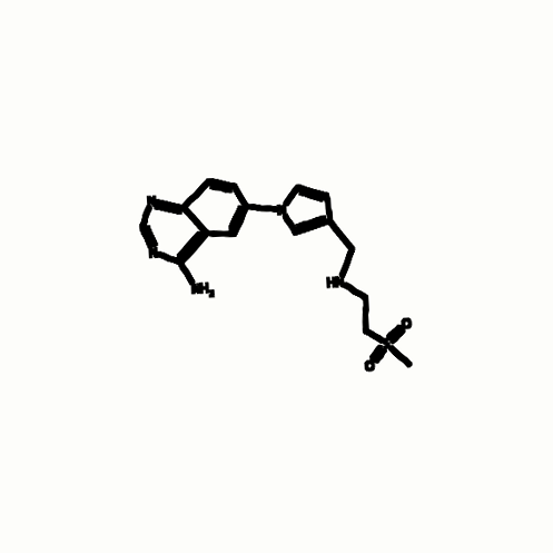 CS(=O)(=O)CCNCc1ccn(-c2ccc3ncnc(N)c3c2)c1